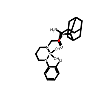 NC(=O)C12CC3CC(C1)C(NC(=O)CN1CCCN(c4ccccc4Cl)S1(O)O)C(C3)C2